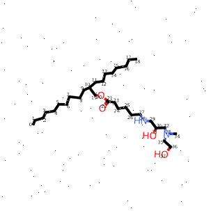 CCCCCCCCCCC(CCCCCCCC)COC(=O)CCCCCNCC(O)CN(C)CCO